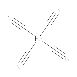 N#[C][Fe]([C]#N)([C]#N)[C]#N